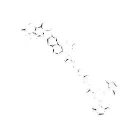 CC[C@@]1(O)C(=O)OCc2c1cc1n(c2=O)Cc2cc3c(CN(C)C)c(OC(=O)NCCNC(=O)CCC(=O)N(CCN4C(=O)C=CC4=O)CCN4C(=O)C=CC4=O)ccc3nc2-1